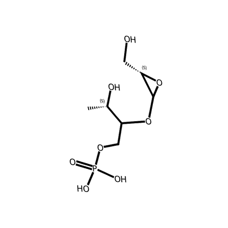 C[C@H](O)C(COP(=O)(O)O)OC1O[C@H]1CO